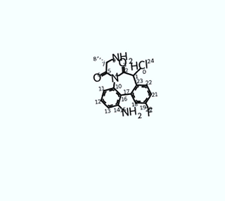 CC1C(=O)N(C(=O)[C@H](C)N)c2cccc(N)c2-c2cc(F)ccc21.Cl